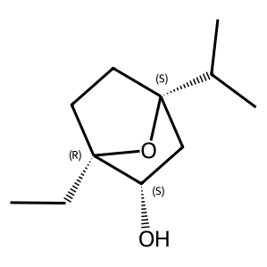 CC[C@@]12CC[C@@](C(C)C)(C[C@@H]1O)O2